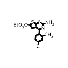 CCOC(=O)c1cc2c(-c3ccc(Cl)cc3C)nc(N)nc2s1